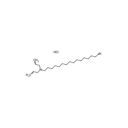 C=CCN(CC=C)CCCCCCCCCCCCCCCC(C)C.Cl